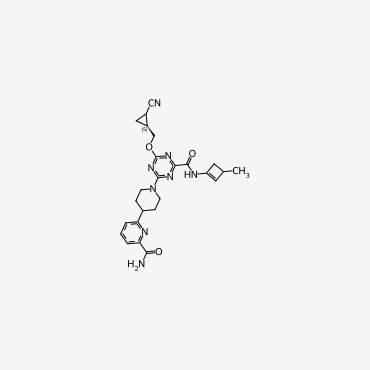 CC1C=C(NC(=O)c2nc(OC[C@H]3CC3C#N)nc(N3CCC(c4cccc(C(N)=O)n4)CC3)n2)C1